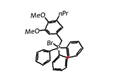 CCCc1cc(CP(Br)(c2ccccc2)(c2ccccc2)c2ccccc2)cc(OC)c1OC